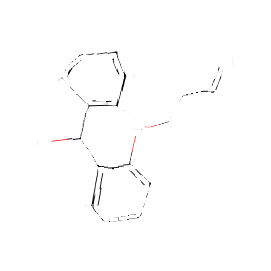 C=CCCOc1ccccc1C(O)c1ccccc1